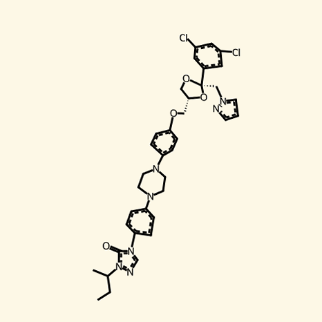 CCC(C)n1ncn(-c2ccc(N3CCN(c4ccc(OC[C@@H]5CO[C@@](Cn6cccn6)(c6cc(Cl)cc(Cl)c6)O5)cc4)CC3)cc2)c1=O